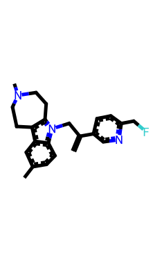 C=C(Cn1c2c(c3cc(C)ccc31)CCN(C)CC2)c1ccc(CF)nc1